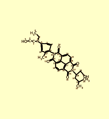 CCN(CCO)c1ccc(N2C(=O)c3ccc4c5c(ccc(c35)C2=O)C(=O)N(C(CO)CC(C)C)C4=O)c(C)c1